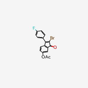 CC(=O)Oc1ccc2c(c1)C(=O)C(Br)=C2c1ccc(F)cc1